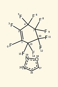 FC1=C(F)C(F)(F)C(F)(F)C(F)(F)C1(F)F.c1conn1